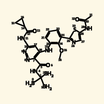 BC(B)(B)NC(=O)c1nnc(NC(=O)C2CC2)cc1Nc1cccc(-c2ncc(NC(C)=O)s2)c1OC